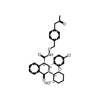 CC(=O)Cc1ccc(CONC(=O)[C@@H]2c3ccccc3C(=O)N([C@H]3CCCC[C@@H]3O)[C@H]2c2ccc(Cl)cc2Cl)cc1